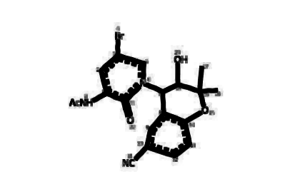 CC(=O)Nc1cc(Br)cn(C2c3cc(C#N)ccc3OC(C)(C)C2O)c1=O